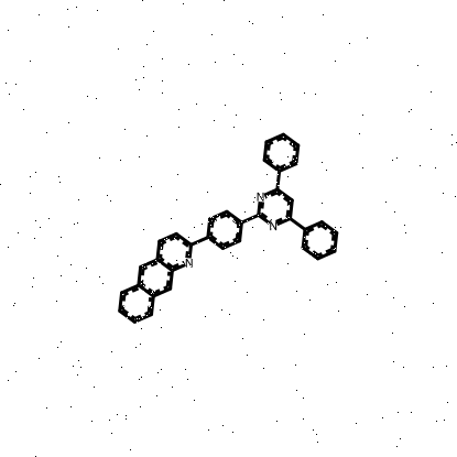 c1ccc(-c2cc(-c3ccccc3)nc(-c3ccc(-c4ccc5cc6ccccc6cc5n4)cc3)n2)cc1